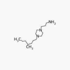 CCCC(C)CCCN1CCN(CCCN)CC1